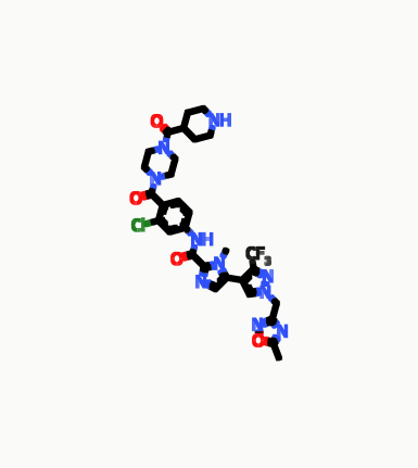 Cc1nc(Cn2cc(-c3cnc(C(=O)Nc4ccc(C(=O)N5CCN(C(=O)C6CCNCC6)CC5)c(Cl)c4)n3C)c(C(F)(F)F)n2)no1